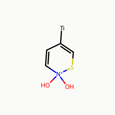 O[N+]1(O)C=C[C]([Ti])=CS1